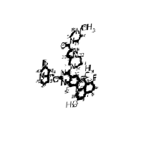 CCc1c(F)ccc2cc(O)cc(-c3c(F)cc4c(N5CCCn6nc(C(=O)N7CCN(C)CC7)cc6C5)nc(OC[C@@]56CCCN5C[C@H](F)C6)nc4c3F)c12